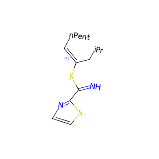 CCCCC/C=C(\CC(C)C)SC(=N)c1nccs1